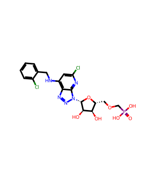 O=P(O)(O)COC[C@H]1O[C@@H](n2nnc3c(NCc4ccccc4Cl)cc(Cl)nc32)[C@H](O)[C@@H]1O